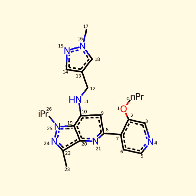 CCCOc1cnccc1-c1cc(NCc2cnn(C)c2)c2c(n1)c(C)nn2C(C)C